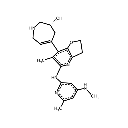 CNc1cc(C)nc(Nc2nc3c(c(C4=CCNC[C@H](O)C4)c2C)OCC3)c1